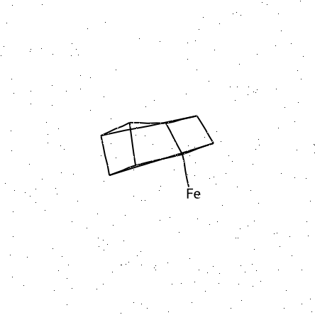 [Fe][C]12C3C4C5C3C1C5C42